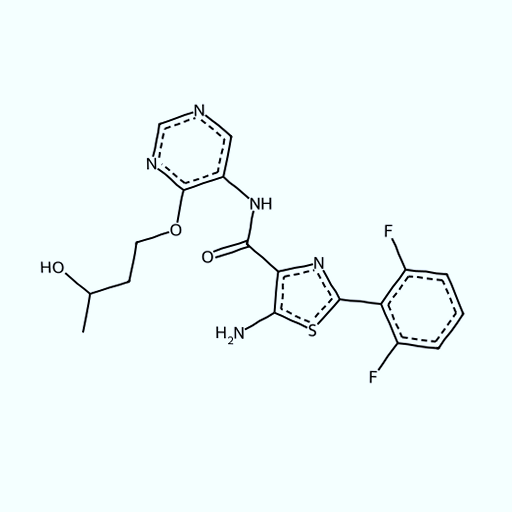 CC(O)CCOc1ncncc1NC(=O)c1nc(-c2c(F)cccc2F)sc1N